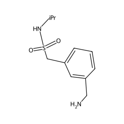 CC(C)NS(=O)(=O)Cc1cccc(CN)c1